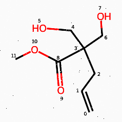 C=CCC(CO)(CO)C(=O)OC